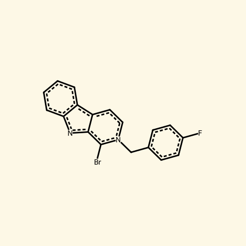 Fc1ccc(Cn2ccc3c4ccccc4nc-3c2Br)cc1